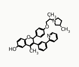 CC1=C(c2cccc(-c3ccccn3)c2)C(c2ccc(OC[C@H](C)N3CC[C@@H](C)C3)cc2)Oc2ccc(O)cc21